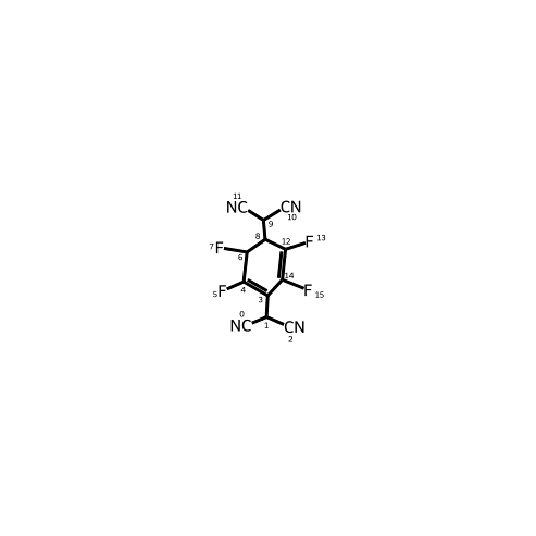 N#CC(C#N)C1=C(F)C(F)C(C(C#N)C#N)C(F)=C1F